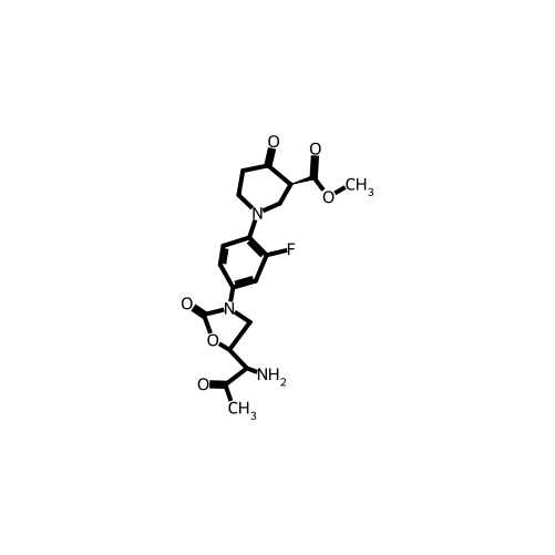 COC(=O)[C@H]1CN(c2ccc(N3CC(C(N)C(C)=O)OC3=O)cc2F)CCC1=O